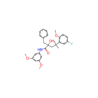 COc1cc(NC(=O)C(O)(Cc2ccccc2)CC(C)(C)c2cc(F)ccc2OC)cc(OC)c1